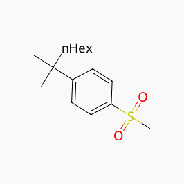 CCCCCCC(C)(C)c1ccc(S(C)(=O)=O)cc1